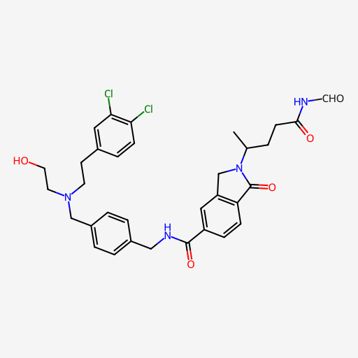 CC(CCC(=O)NC=O)N1Cc2cc(C(=O)NCc3ccc(CN(CCO)CCc4ccc(Cl)c(Cl)c4)cc3)ccc2C1=O